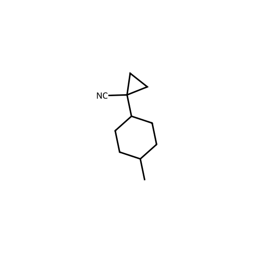 CC1CCC(C2(C#N)CC2)CC1